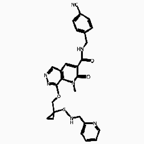 Cn1c(=O)c(C(=O)NCc2ccc(C#N)cc2)cc2cnnc(OCC3(SNCc4ccccn4)CC3)c21